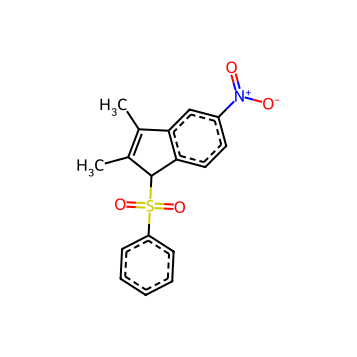 CC1=C(C)C(S(=O)(=O)c2ccccc2)c2ccc([N+](=O)[O-])cc21